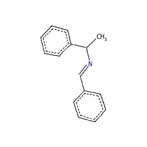 CC(N=Cc1ccccc1)c1ccccc1